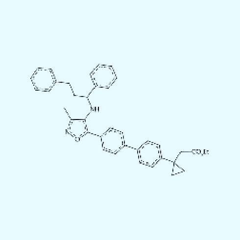 CCOC(=O)CC1(c2ccc(-c3ccc(-c4onc(C)c4NC(CCc4ccccc4)c4ccccc4)cc3)cc2)CC1